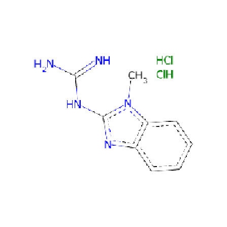 Cl.Cl.Cn1c(NC(=N)N)nc2ccccc21